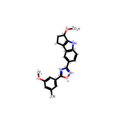 N#Cc1cc(OC(F)(F)F)cc(-c2nc(-c3ccc4[nH]c5c(c4c3)CCC5OC(=O)O)no2)c1